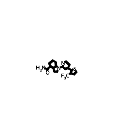 NC(=O)c1cccc2c1CCN2c1cc(-c2sccc2C(F)(F)F)ccn1